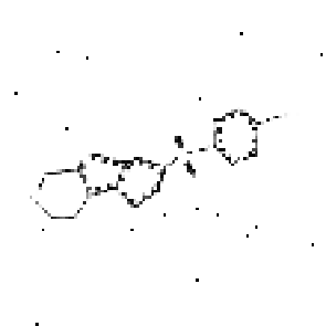 O=[N+]([O-])c1ccc(S(=O)(=O)c2ccc3c4c(oc3c2)CNCC4)cc1